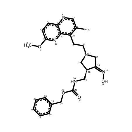 COc1ccc2ncc(F)c(CCN3CC(=NO)[C@@H](CNC(=O)OCc4ccccc4)C3)c2n1